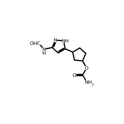 NC(=O)OC1CCC(c2cc(NC=O)n[nH]2)C1